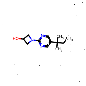 CCC(C)(C)c1cnc(N2CC(O)C2)nc1